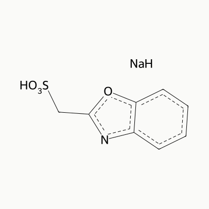 O=S(=O)(O)Cc1nc2ccccc2o1.[NaH]